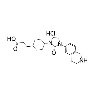 Cl.O=C(O)CC[C@H]1CC[C@H](N2CCN(c3ccc4c(c3)CCNC4)C2=O)CC1